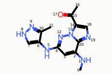 CNc1cc(Nc2c[nH]nc2C)nn2c(C(C)=O)cnc12